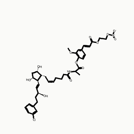 COc1cc(/C=C/C(=O)OCCO[N+](=O)[O-])ccc1OC(=O)C(C)NC(=O)CCC/C=C\C[C@@H]1[C@@H](/C=C/[C@@H](O)CCc2cccc(Cl)c2)[C@H](O)C[C@@H]1O